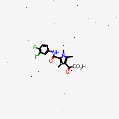 Cc1c(C(=O)C(=O)O)c(C)n(C)c1C(=O)Nc1ccc(F)c(F)c1